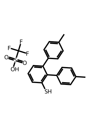 Cc1ccc(-c2cccc(S)c2-c2ccc(C)cc2)cc1.O=S(=O)(O)C(F)(F)F